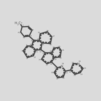 CC1C=CC(c2c3ccccc3c(-c3ccc(-c4cccc(-c5cccnc5)n4)c4ccccc34)c3ccccc23)=CC1